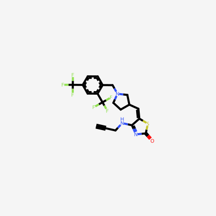 C#CCNC1=NC(=O)SC1=CC1CCN(Cc2ccc(C(F)(F)F)cc2C(F)(F)F)C1